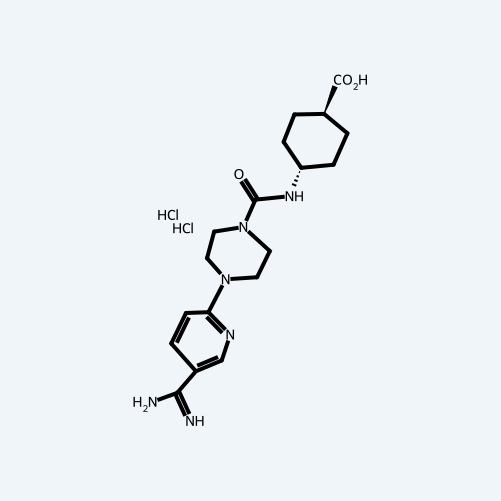 Cl.Cl.N=C(N)c1ccc(N2CCN(C(=O)N[C@H]3CC[C@H](C(=O)O)CC3)CC2)nc1